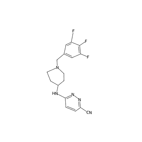 N#Cc1ccc(NC2CCN(Cc3cc(F)c(F)c(F)c3)CC2)nn1